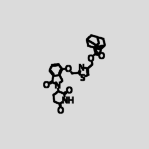 O=C1CCC(N2Cc3c(OCc4nc(COC(=O)C56CC7CC(C5)C(=O)C(C7)C6)cs4)cccc3C2=O)C(=O)N1